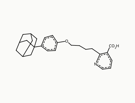 O=C(O)c1cccnc1CCCCOc1ccc(C23CC4CC(CC(C4)C2)C3)cc1